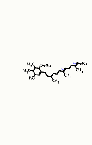 CCCC/C=C(\C)CC/C=C(\C)CCCC(C)CCC1=CC(O)C(C)C(C)C1OCCCC